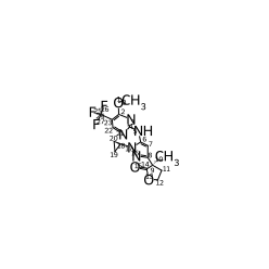 COc1nc(Nc2cc([C@@]3(C)CCOC3=O)nn2C2CC2)ncc1C(F)(F)F